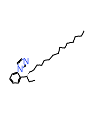 CCCCCCCCCCCCCCC[C@H](CC)c1ccccc1-n1ccnc1